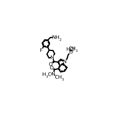 COCCn1cc(C(=O)N2CCC(c3cc(CN)ccc3F)CC2)c2c(C(=O)N(C)C)cccc21.Cl